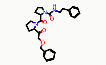 O=C(COCc1ccccc1)C1CCCN1C(=O)C1CCCN1C(=O)NCCc1ccccc1